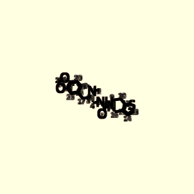 CN(C)[C@H](CNC(=O)N1CCc2sccc2C1)Cc1ccc2c(c1)OCO2